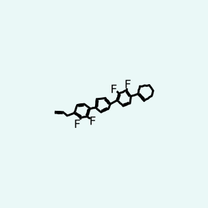 C=CCc1ccc(-c2ccc(-c3ccc(C4=CCCCC4)c(F)c3F)cc2)c(F)c1F